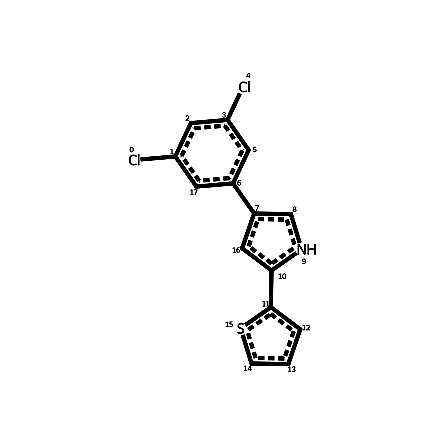 Clc1cc(Cl)cc(-c2c[nH]c(-c3cccs3)c2)c1